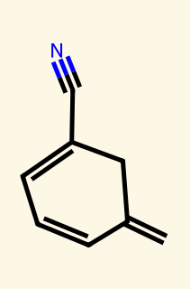 C=C1C=CC=C(C#N)C1